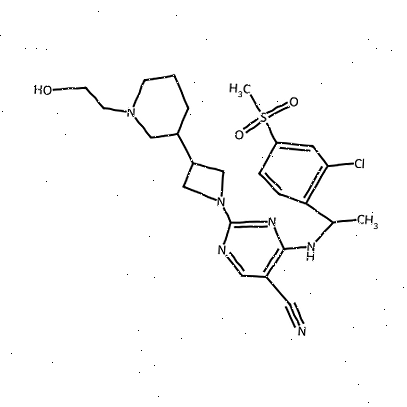 CC(Nc1nc(N2CC(C3CCCN(CCO)C3)C2)ncc1C#N)c1ccc(S(C)(=O)=O)cc1Cl